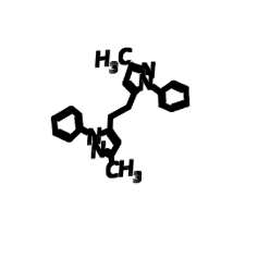 Cc1cc(CCc2cc(C)nn2-c2ccccc2)n(-c2ccccc2)n1